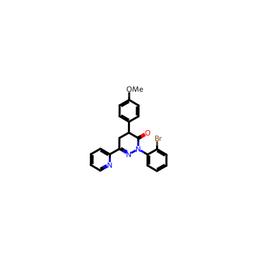 COc1ccc(C2CC(c3ccccn3)=NN(c3ccccc3Br)C2=O)cc1